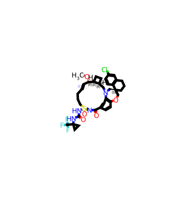 CO[C@H]1/C=C/CCCS(=O)(NC(=O)NC2(C(F)(F)F)CC2)=NC(=O)c2ccc3c(c2)N(C[C@@H]2CC[C@H]21)C[C@@]1(CCCc2cc(Cl)ccc21)CO3